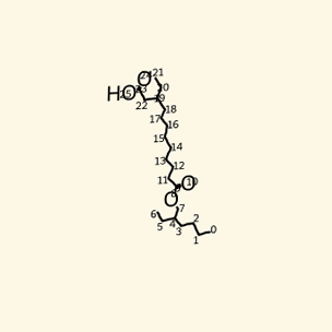 CCCCC(CC)COC(=O)CCCCCCCCC(CC)CC(=O)O